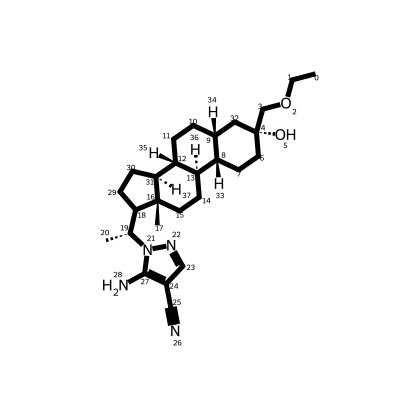 CCOC[C@@]1(O)CC[C@H]2[C@H](CC[C@@H]3[C@@H]2CC[C@]2(C)C([C@@H](C)n4ncc(C#N)c4N)CC[C@@H]32)C1